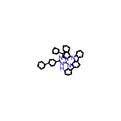 c1ccc(C2=NC(n3c4ccccc4c4ccc5c6ccccc6n(-c6ccc(-c7ccccc7)cc6)c5c43)NC(c3ccc(-c4ccccc4)cc3)=N2)cc1